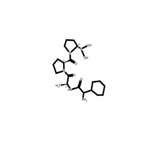 C[C@H](NC(=O)C(N)C1CCCCC1)C(=O)N1CCC[C@H]1C(=O)N1CCC[C@H]1B(O)O